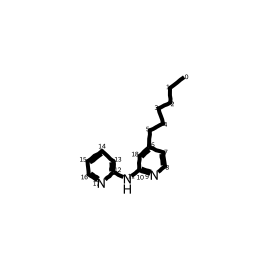 CCCCCCc1ccnc(Nc2ccccn2)c1